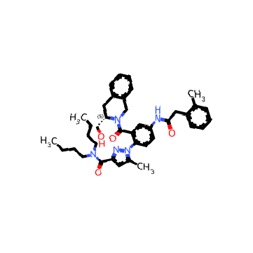 CCCCN(CCCC)C(=O)c1cc(C)n(-c2ccc(NC(=O)Cc3ccccc3C)cc2C(=O)N2Cc3ccccc3C[C@H]2CO)n1